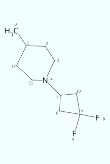 CC1CCN(C2CC(F)(F)C2)CC1